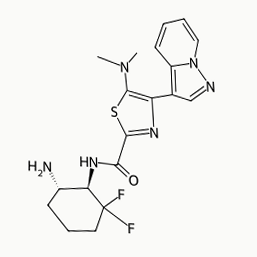 CN(C)c1sc(C(=O)N[C@@H]2[C@@H](N)CCCC2(F)F)nc1-c1cnn2ccccc12